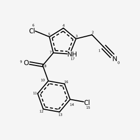 N#CCc1cc(Cl)c(C(=O)c2cccc(Cl)c2)[nH]1